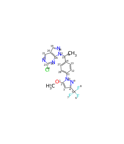 COc1cc(C(F)(F)F)nn1-c1ccc(C(C)n2ncc3cnc(Cl)nc32)cc1